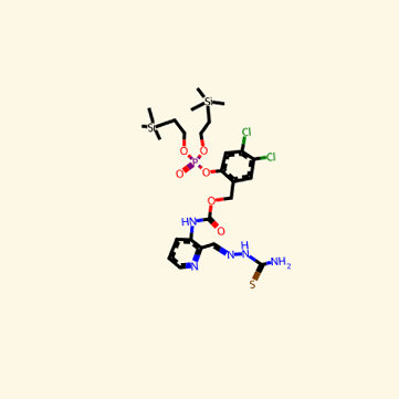 C[Si](C)(C)CCOP(=O)(OCC[Si](C)(C)C)Oc1cc(Cl)c(Cl)cc1COC(=O)Nc1cccnc1C=NNC(N)=S